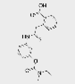 CCN(C)C(=O)Oc1cccc(NC(=S)Cc2ccccc2C(=O)O)c1